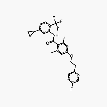 Cc1cc(OCCc2ccc(F)cc2)cc(C)c1C(=O)Nc1cc(C2CC2)ccc1C(F)(F)F